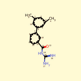 Cc1cc(C)cc(-c2cccc(C(=O)NC(=N)N)c2)c1